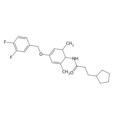 CC1=CC(OCc2ccc(F)c(F)c2)=CC(C)C1NC(=O)CCC1CCCC1